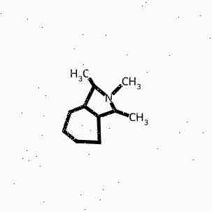 CC1C2CCCCC2C(C)N1C